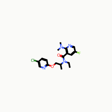 CCN(C(=O)c1cc(F)cnc1N(C)C)C(C)COc1ccc(Cl)cn1